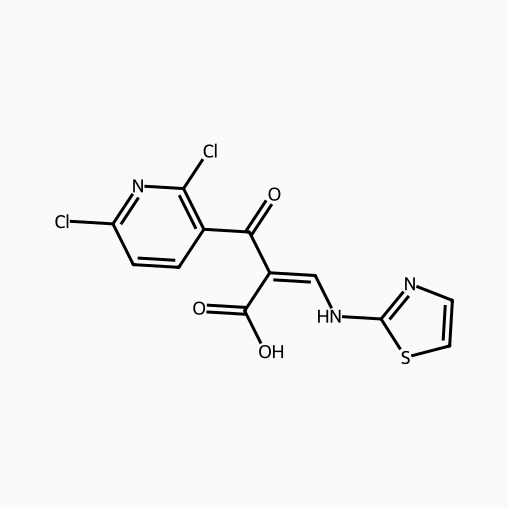 O=C(O)/C(=C\Nc1nccs1)C(=O)c1ccc(Cl)nc1Cl